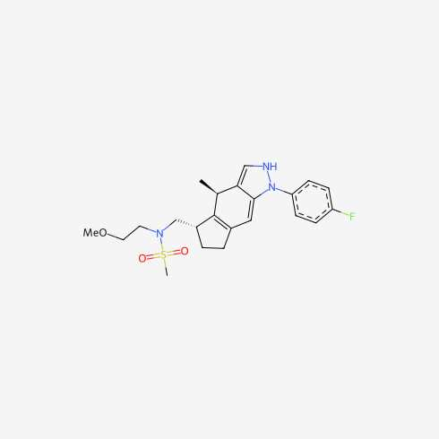 COCCN(C[C@H]1CCC2=C1[C@@H](C)C1=CNN(c3ccc(F)cc3)C1=C2)S(C)(=O)=O